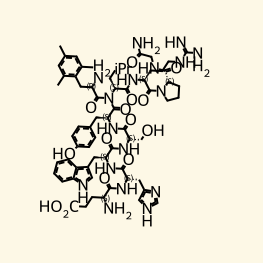 Cc1cc(C)c(C[C@@H](N)C(=O)N(C(=O)[C@H](Cc2ccc(O)cc2)NC(=O)[C@H](CO)NC(=O)[C@H](Cc2c[nH]c3ccccc23)NC(=O)[C@H](Cc2c[nH]cn2)NC(=O)[C@@H](N)CCC(=O)O)[C@@H](CC(C)C)C(=O)N[C@@H](CCCNC(=N)N)C(=O)N2CCC[C@H]2C(=O)NCC(N)=O)c(C)c1